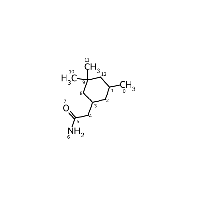 CC1CC(CC(N)=O)CC(C)(C)C1